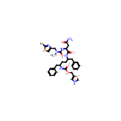 CC(C)c1nc(CN(C)C(=O)NC(CC(N)=O)C(=O)NC(CCC(Cc2ccccc2)NC(=O)OCC2=CNCS2)Cc2ccccc2)cs1